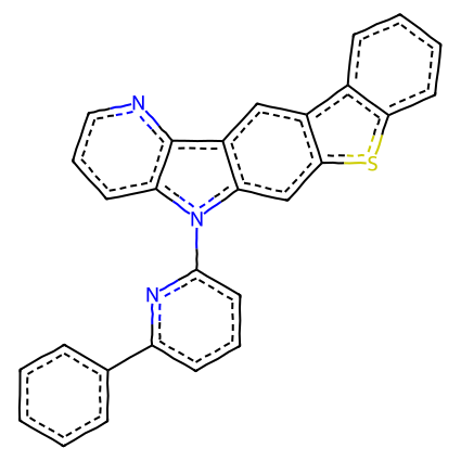 c1ccc(-c2cccc(-n3c4cc5sc6ccccc6c5cc4c4ncccc43)n2)cc1